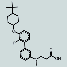 CN(CCC(=O)O)c1cccc(-c2cccc(OC3CCC(C(C)(C)C)CC3)c2F)c1